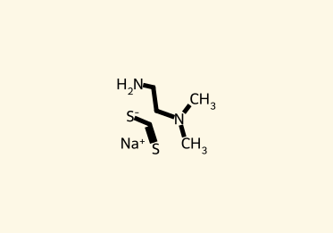 CN(C)CCN.S=C[S-].[Na+]